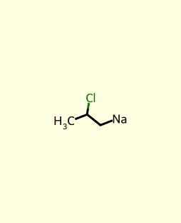 CC(Cl)[CH2][Na]